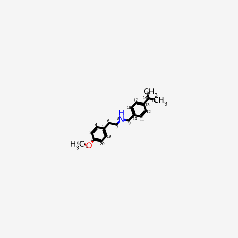 COc1ccc(CCNCc2ccc(C(C)C)cc2)cc1